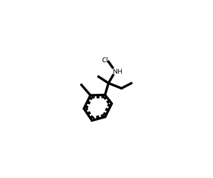 CCC(C)(NCl)c1ccccc1C